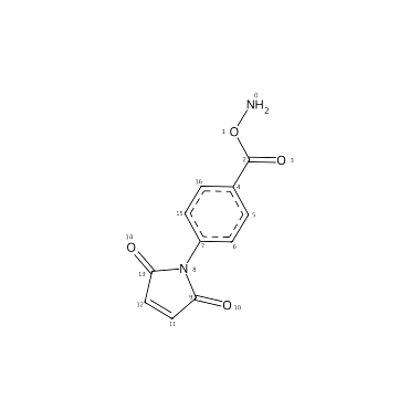 NOC(=O)c1ccc(N2C(=O)C=CC2=O)cc1